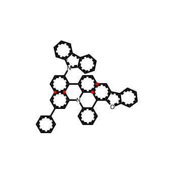 c1ccc(-c2cccc(N(c3ccccc3-c3ccccc3-n3c4ccccc4c4ccccc43)c3ccccc3-c3cccc4c3oc3ccccc34)c2)cc1